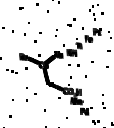 O=C(O)[CH2][Co]([Re])[Au].[Fe].[KH].[Mn].[Pd].[Pt].[Ti]